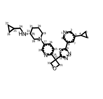 c1ncc(C2CC2)cc1-c1nnc(C2(c3ccc(N4CCC[C@@H](NCC5CC5)C4)cn3)COC2)s1